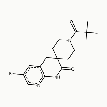 CC(C)(C)C(=O)N1CCC2(CC1)Cc1cc(Br)cnc1NC2=O